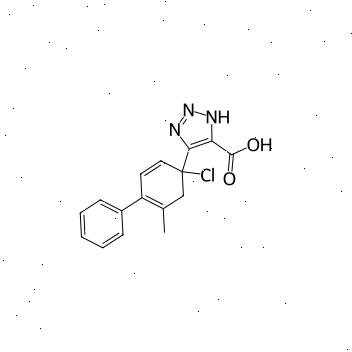 CC1=C(c2ccccc2)C=CC(Cl)(c2nn[nH]c2C(=O)O)C1